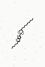 CCCCCCCCCC1COC(c2cc3cc(CCCCC)sc3s2)OC1